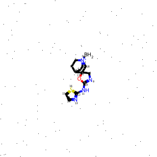 B[N+]12CCC(CC1)C1(CN=C(Nc3nccs3)O1)C2